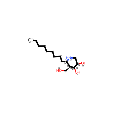 CCCCCCCCC[C@H]1NC[C@@H](O)[C@@H](O)[C@H]1CO